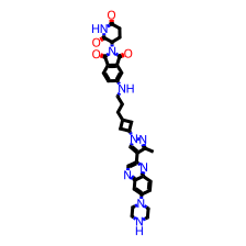 Cc1nn(C2CC(CCCNc3ccc4c(c3)C(=O)N(C3CCC(=O)NC3=O)C4=O)C2)cc1-c1cnc2cc(N3CCNCC3)ccc2n1